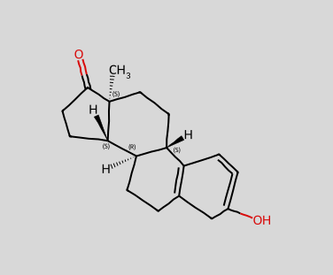 C[C@]12CC[C@@H]3C4=C(CC[C@H]3[C@@H]1CCC2=O)CC(O)=C=C4